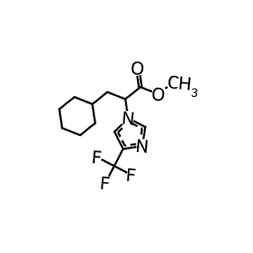 COC(=O)C(CC1CCCCC1)n1cnc(C(F)(F)F)c1